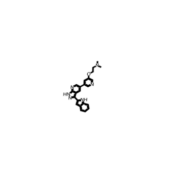 CN(C)CCOc1cncc(-c2cnc3[nH]nc(-c4cc5ccccc5[nH]4)c3c2)c1